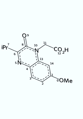 COc1ccc2nc(C(C)C)c(=O)n(CC(=O)O)c2c1